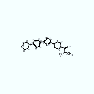 CC(C)C(=O)N1CCC(c2nc(-c3ccc(N4CCOCC4)cc3)no2)CC1